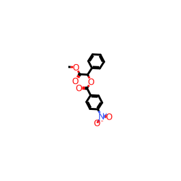 COC(=O)C(OC(=O)c1ccc([N+](=O)[O-])cc1)c1ccccc1